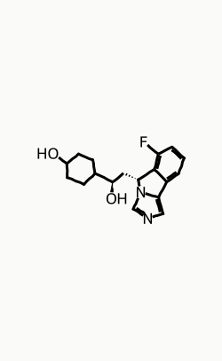 OC1CCC([C@H](O)C[C@@H]2c3c(F)cccc3-c3cncn32)CC1